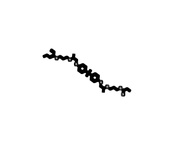 C=C/C(=C\CC)OCCCOC(C)COc1ccc(C(C)(C)c2ccc(OCC(C)OCCCOC(=O)CC)cc2)cc1